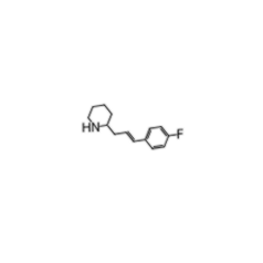 Fc1ccc(C=CCC2CCCCN2)cc1